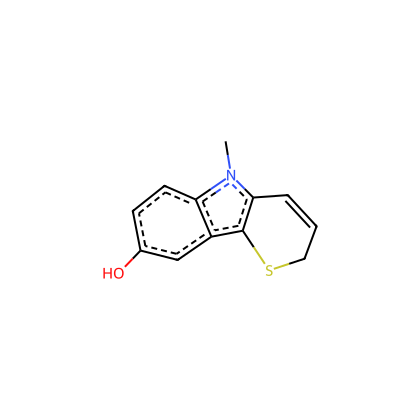 Cn1c2c(c3cc(O)ccc31)SCC=C2